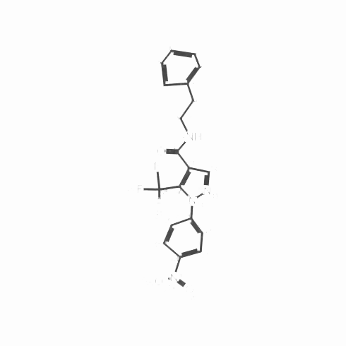 O=C(NCCc1ccccc1)c1cnn(-c2ccc([N+](=O)[O-])cc2)c1C(F)(F)F